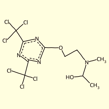 CC(O)N(C)CCOc1nc(C(Cl)(Cl)Cl)nc(C(Cl)(Cl)Cl)n1